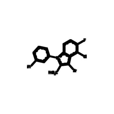 CCOC(=O)c1c(Br)c2c(Cl)c(F)ccc2n1-c1cccc(C(C)C)c1